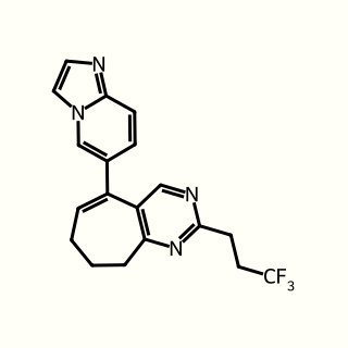 FC(F)(F)CCc1ncc2c(n1)CCCC=C2c1ccc2nccn2c1